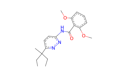 CCC(C)(CC)c1ccc(NC(=O)c2c(OC)cccc2OC)nn1